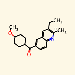 CCc1cc2cc(C(=O)C3CCC(OC)CC3)ccc2nc1[11CH3]